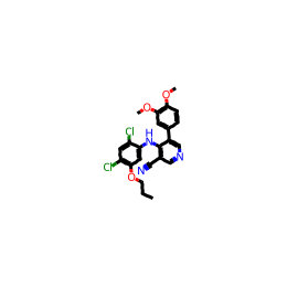 CCCOc1cc(Nc2c(C#N)cncc2-c2ccc(OC)c(OC)c2)c(Cl)cc1Cl